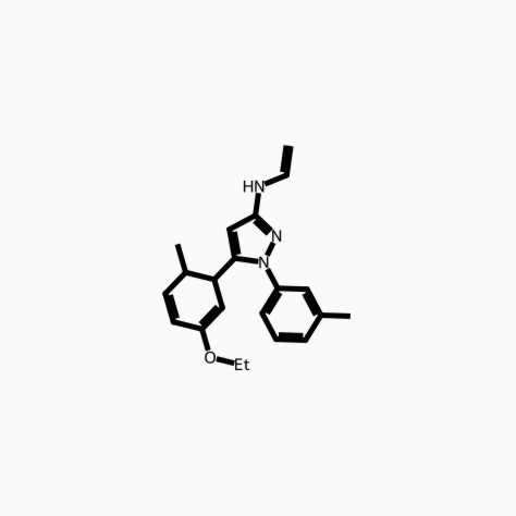 C=CNc1cc(C2C=C(OCC)C=CC2C)n(-c2cccc(C)c2)n1